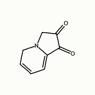 O=C1CN2CC=CC=C2C1=O